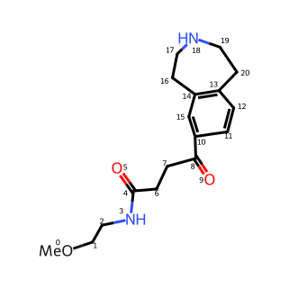 COCCNC(=O)CCC(=O)c1ccc2c(c1)CCNCC2